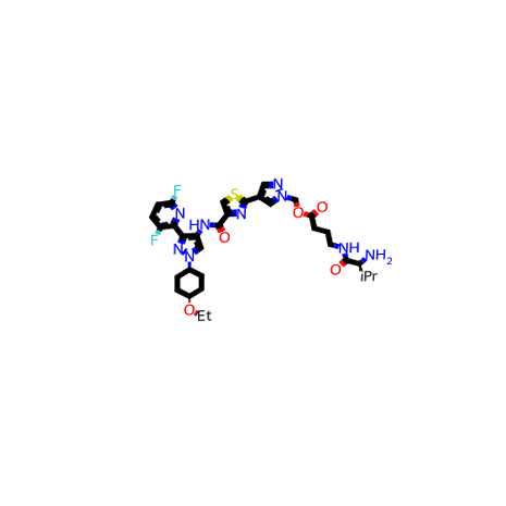 CCO[C@H]1CC[C@H](n2cc(NC(=O)c3csc(-c4cnn(COC(=O)CCCNC(=O)[C@@H](N)C(C)C)c4)n3)c(-c3nc(F)ccc3F)n2)CC1